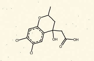 CC1CC(O)(CC(=O)O)c2cc(Cl)c(Cl)cc2O1